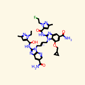 CCn1nc(C)cc1C(O)Nc1nc2cc(C(N)=O)cnc2n1C/C=C/Cn1c(NC(=O)c2cc(C)nn2CCF)nc2cc(C(N)=O)cc(OCC3CC3)c21